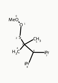 COOSC(C)(C)C(C(C)C)C(C)C